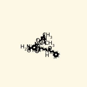 CCn1nc(C)cc1C(=O)Nc1nc2cc(C(N)=O)cc3c2n1[C@@H](CCCNC(=O)CCc1ccccc1)CO3